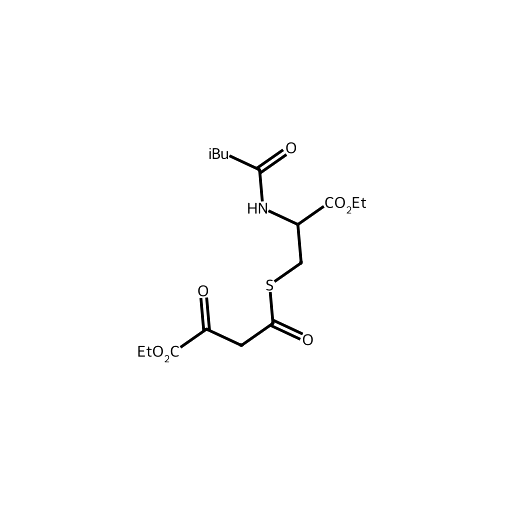 CCOC(=O)C(=O)CC(=O)SCC(NC(=O)C(C)CC)C(=O)OCC